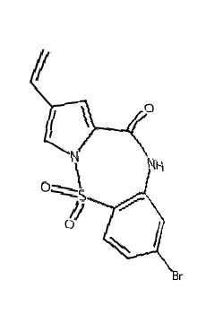 C=Cc1cc2n(c1)S(=O)(=O)c1ccc(Br)cc1NC2=O